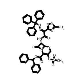 CS(=O)(=O)OC1=C(C(=O)OC(c2ccccc2)c2ccccc2)N2C(=O)[C@@H](NC(=O)C(=NOC(c3ccccc3)(c3ccccc3)c3ccccc3)c3nsc(N)n3)C2SC1